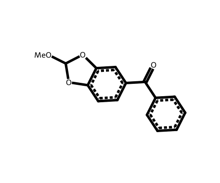 COC1Oc2ccc(C(=O)c3ccccc3)cc2O1